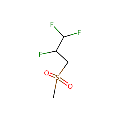 CS(=O)(=O)CC(F)C(F)F